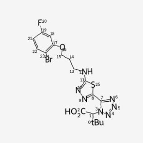 CC(C)(C)C(C(=O)O)n1nnnc1-c1nnc(NCCCOc2cc(F)ccc2Br)s1